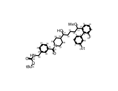 CCc1cccc(-c2c(F)cccc2C(CCCC(O)C2CCN(C(=O)c3cccc(CNC(=O)OC(C)(C)C)c3)CC2)OC)c1